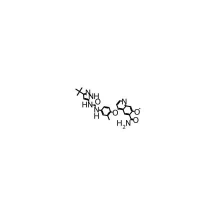 COc1cc2nccc(Oc3ccc(NC(=O)Nc4cc(C(C)(C)C)n[nH]4)cc3C)c2cc1C(N)=O